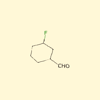 O=CC1CCCC(F)C1